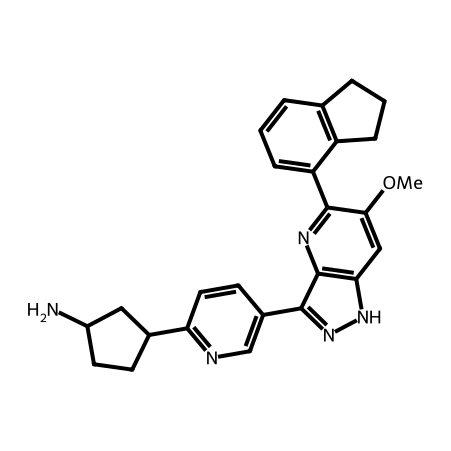 COc1cc2[nH]nc(-c3ccc(C4CCC(N)C4)nc3)c2nc1-c1cccc2c1CCC2